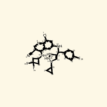 N#Cc1cnc2c(Cl)cc(NC(C3=CN(C4CC4)NN3)c3ccc(F)cc3)cc2c1NC1CC(F)(F)C1